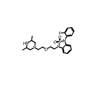 CC1CN(CCOCCN2c3ccccc3N(c3ccccc3F)S2(=O)=O)CC(C)N1